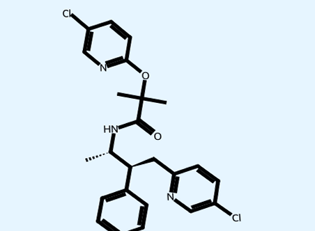 C[C@H](NC(=O)C(C)(C)Oc1ccc(Cl)cn1)[C@@H](Cc1ccc(Cl)cn1)c1ccccc1